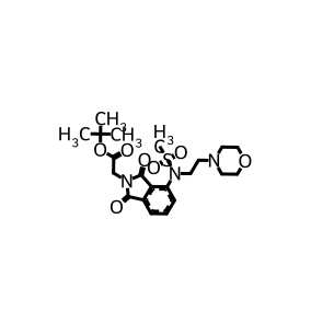 CC(C)(C)OC(=O)CN1C(=O)c2cccc(N(CCN3CCOCC3)S(C)(=O)=O)c2C1=O